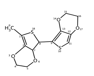 CC1=C2OCCOC2C(c2scc3c2OCCO3)S1